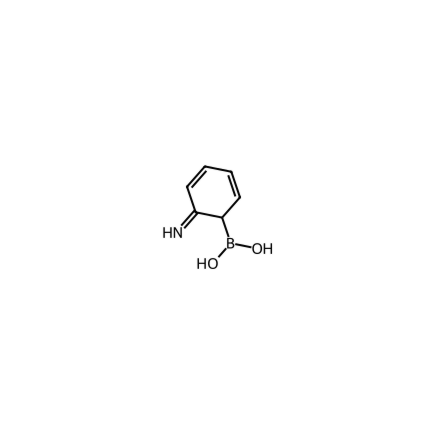 N=C1C=CC=CC1B(O)O